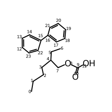 CCCCC(CC)COC(=O)O.c1ccc(-c2ccccc2)cc1